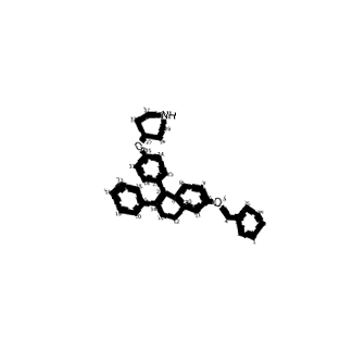 c1ccc(COc2ccc3c(c2)CCC(c2ccccc2)=C3c2ccc(OC3CCNCC3)cc2)cc1